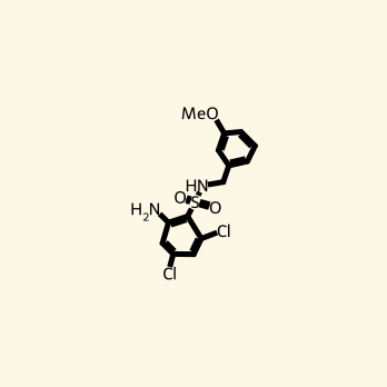 COc1cccc(CNS(=O)(=O)c2c(N)cc(Cl)cc2Cl)c1